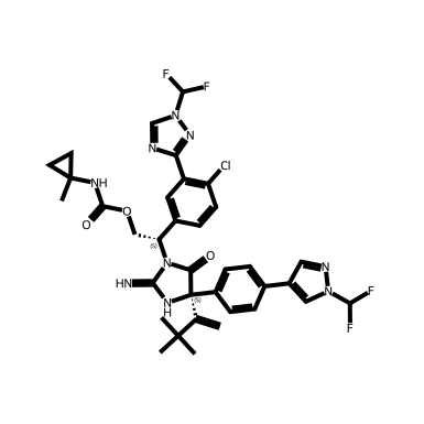 C=C(C(C)(C)C)[C@]1(c2ccc(-c3cnn(C(F)F)c3)cc2)NC(=N)N([C@H](COC(=O)NC2(C)CC2)c2ccc(Cl)c(-c3ncn(C(F)F)n3)c2)C1=O